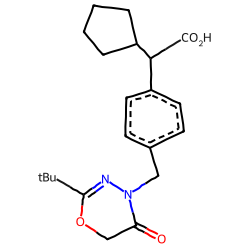 CC(C)(C)C1=NN(Cc2ccc(C(C(=O)O)C3CCCC3)cc2)C(=O)CO1